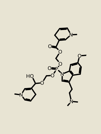 COc1ccc2c(CCN(C)C)cn(P(=O)(OCOC(=O)C3=CN(C)C=CC3)OCOC(O)C3=CN(C)C=CC3)c2c1